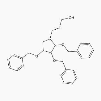 OCCCC1CC(OCc2ccccc2)C(OCc2ccccc2)C1OCc1ccccc1